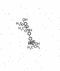 COc1c(CO)ccc2oc(C(=O)Nc3ccc(-c4ccc(S(=O)(=O)N[C@H](C(=O)O)C(C)C)cc4)cc3)c(C)c12